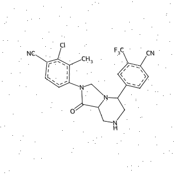 Cc1c(N2CN3C(CNCC3c3ccc(C#N)c(C(F)(F)F)c3)C2=O)ccc(C#N)c1Cl